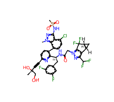 Cn1nc(NS(C)(=O)=O)c2c(Cl)ccc(-c3ccc(C#C[C@@](C)(O)CO)nc3[C@H](Cc3cc(F)cc(F)c3)NC(=O)Cn3nc(C(F)F)c4c3C(F)(F)[C@@H]3C[C@H]43)c21